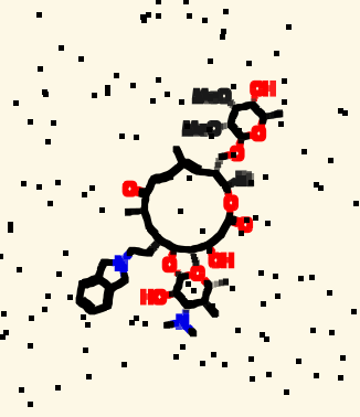 CC[C@H]1OC(=O)C[C@@H](O)[C@H](C)[C@@H](O[C@@H]2O[C@H](C)[C@@H](C)[C@H](N(C)C)[C@H]2O)[C@@H](CCN2Cc3ccccc3C2)C[C@@H](C)C(=O)/C=C/C(C)=C/[C@@H]1CO[C@@H]1O[C@H](C)[C@@H](O)[C@@H](OC)[C@H]1OC